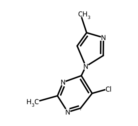 Cc1cn(-c2nc(C)n[c]c2Cl)cn1